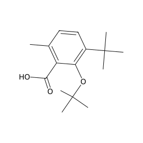 Cc1ccc(C(C)(C)C)c(OC(C)(C)C)c1C(=O)O